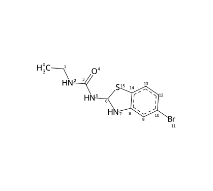 CCNC(=O)NC1Nc2cc(Br)ccc2S1